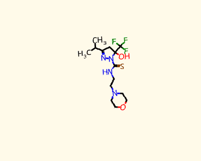 CC(C)C1=NN(C(=S)NCCN2CCOCC2)C(O)(C(F)(F)F)C1